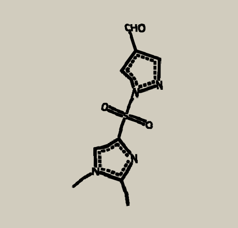 Cc1nc(S(=O)(=O)n2cc(C=O)cn2)cn1C